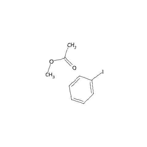 COC(C)=O.Ic1ccccc1